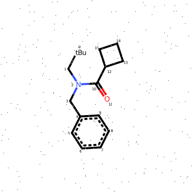 CC(C)(C)CN(Cc1ccccc1)C(=O)C1CCC1